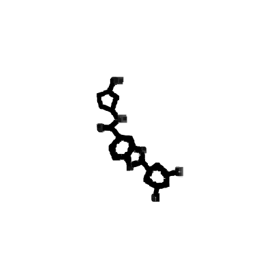 O=C(NC1CCC(O)C1)c1ccc2nc(-c3cc(Cl)cc(Cl)c3)oc2c1